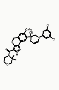 COc1cc2c(cc1C1(C#N)CC=CN(c3cc(Cl)cc(Cl)c3)C1)-c1n[nH]c(C(=O)N3CCOCC3(C)C)c1OC2